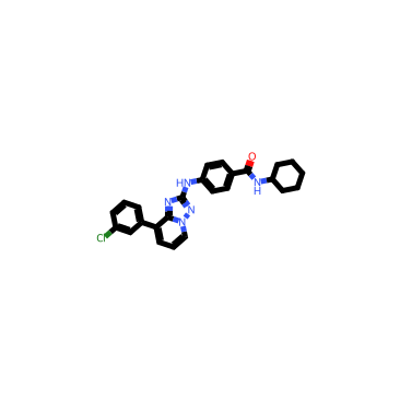 O=C(NC1CCCCC1)c1ccc(Nc2nc3c(-c4cccc(Cl)c4)cccn3n2)cc1